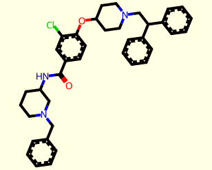 O=C(NC1CCCN(Cc2ccccc2)C1)c1ccc(OC2CCN(CC(c3ccccc3)c3ccccc3)CC2)c(Cl)c1